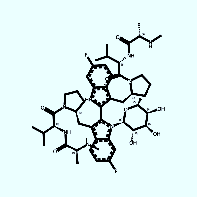 CN[C@@H](C)C(=O)N[C@H](C(=O)N1CCC[C@H]1Cc1c(-c2c(C[C@@H]3CCCN3C(=O)[C@@H](NC(=O)[C@H](C)NC)C(C)C)c3ccc(F)cc3n2[C@H]2O[C@@H](C)[C@@H](O)[C@@H](O)[C@@H]2O)[nH]c2cc(F)ccc12)C(C)C